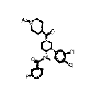 CC(=O)N1CCC(C(=O)N2CC[C@@H](N(C)C(=O)c3cccc(F)c3)[C@H](c3ccc(Cl)c(Cl)c3)C2)CC1